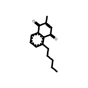 CCCCCc1cccc2c1C(=O)C=C(C)C2=O